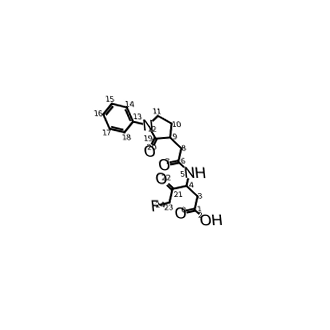 O=C(O)CC(NC(=O)CC1CCN(c2ccccc2)C1=O)C(=O)CF